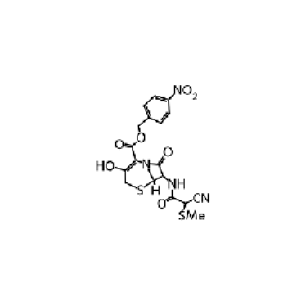 CSC(C#N)C(=O)NC1C(=O)N2C(C(=O)OCc3ccc([N+](=O)[O-])cc3)=C(O)CS[C@@H]12